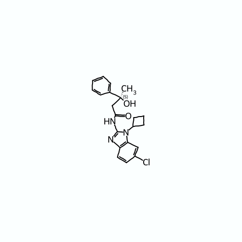 C[C@](O)(CC(=O)Nc1nc2ccc(Cl)cc2n1C1CCC1)c1ccccc1